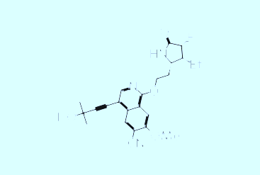 CC[C@@H]1[C@H](F)C(=O)N[C@@H]1CCOc1ncc(C#CC(C)(C)O)c2cc(C#N)c(OC)cc12